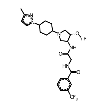 CCCO[C@H]1CN(C2CCC(n3ccc(C)n3)CC2)C[C@@H]1NC(=O)CNC(=O)c1cccc(C(F)(F)F)c1